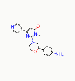 Cn1c(N2CCO[C@H](C3C=CC(N)=CC3)C2)nc(-c2ccncc2)cc1=O